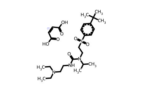 CCN(CC)CCNC(=O)N(CCS(=O)(=O)c1ccc(C(C)(C)C)cc1)C(C)C.O=C(O)/C=C\C(=O)O